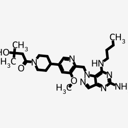 CCCCNc1nc(N)nc2cnn(Cc3ncc(C4CCN(C(=O)CC(C)(C)O)CC4)cc3OC)c12